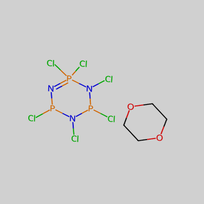 C1COCCO1.ClN1P(Cl)N=P(Cl)(Cl)N(Cl)P1Cl